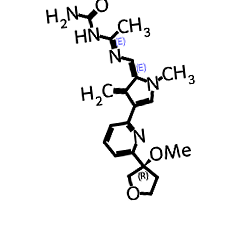 C=c1c(-c2cccc([C@]3(OC)CCOC3)n2)cn(C)/c1=C/N=C(\C)NC(N)=O